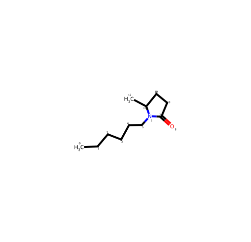 CCCCCCN1C(=O)CCC1C